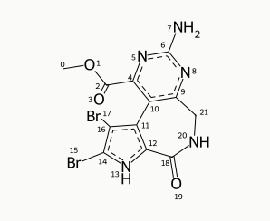 COC(=O)c1nc(N)nc2c1-c1c([nH]c(Br)c1Br)C(=O)NC2